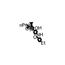 CCCNC(=O)n1nc(-c2ccc(NC(=O)c3ccc(CC)cc3)cc2O)cc1C1CC1